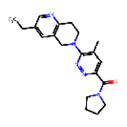 Cc1cc(C(=O)N2CCCC2)nnc1N1CCc2ncc(CC(F)(F)F)cc2C1